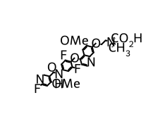 COc1cc2c(Oc3c(F)cc(NC(=O)c4cnc(F)cc4OC)cc3F)ccnc2cc1OCCN(C)C(=O)O